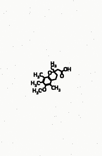 COc1c(C)c(C)c2c(c1C)CCC(C)(CC(=O)O)O2